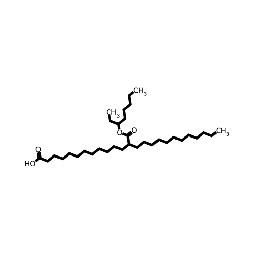 CCCCCCCCCCCCC(CCCCCCCCCCCC(=O)O)C(=O)OC(CC)CCCCC